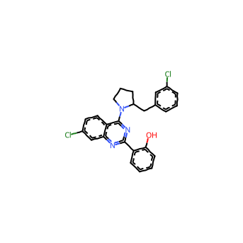 Oc1ccccc1-c1nc(N2CCCC2Cc2cccc(Cl)c2)c2ccc(Cl)cc2n1